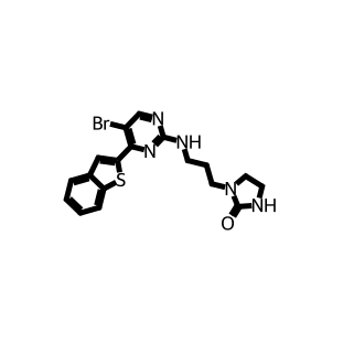 O=C1NCCN1CCCNc1ncc(Br)c(-c2cc3ccccc3s2)n1